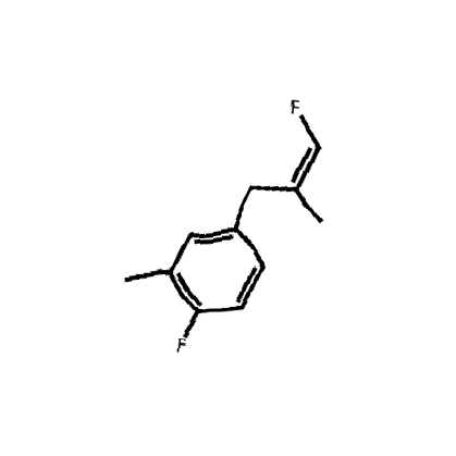 C/C(=C/F)Cc1ccc(F)c(C)c1